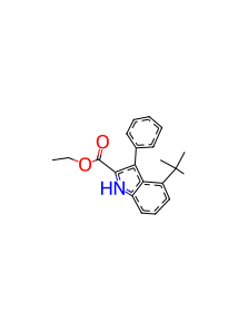 CCOC(=O)c1[nH]c2cccc(C(C)(C)C)c2c1-c1ccccc1